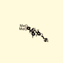 COc1ccc(N(C)c2cnc(SCc3c(F)cc(OCCC[N+]45CCN(CC4)C5)cc3F)n2-c2ccc(F)cc2)cc1OC